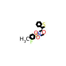 Cc1ccc(S(=O)(=O)N2CCO[C@H](c3csc4ccccc34)C2)cc1F